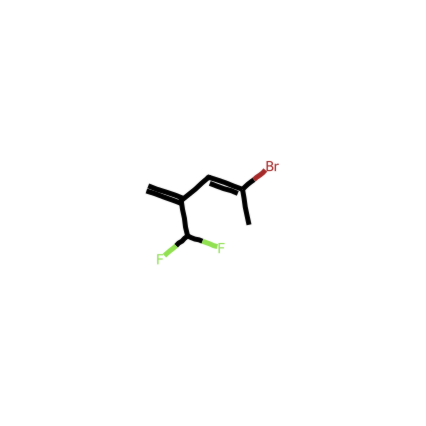 C=C(/C=C(\C)Br)C(F)F